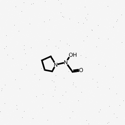 O=CN(O)N1CCCC1